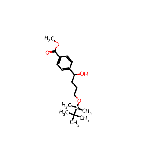 COC(=O)c1ccc(C(O)CCCO[Si](C)(C)C(C)(C)C)cc1